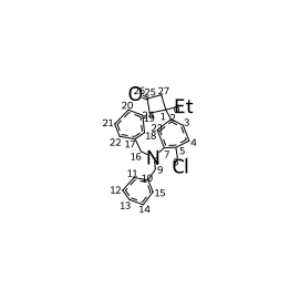 CCC1(c2ccc(Cl)c(N(Cc3ccccc3)Cc3ccccc3)c2)CC(=O)C1